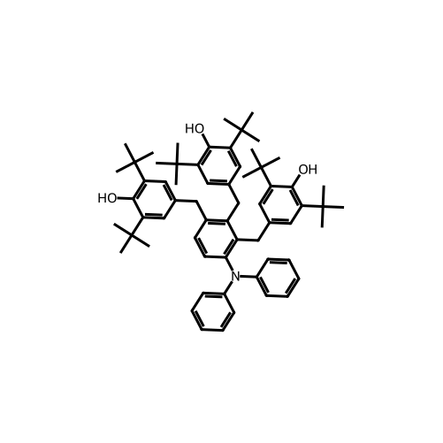 CC(C)(C)c1cc(Cc2ccc(N(c3ccccc3)c3ccccc3)c(Cc3cc(C(C)(C)C)c(O)c(C(C)(C)C)c3)c2Cc2cc(C(C)(C)C)c(O)c(C(C)(C)C)c2)cc(C(C)(C)C)c1O